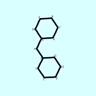 [CH]1CCC(CC2[CH]CCCC2)CC1